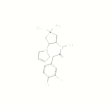 COC1(OC)CC(N2CC=CC2)C(N(C)C(=O)Cc2ccc(Br)c(Br)c2)C1